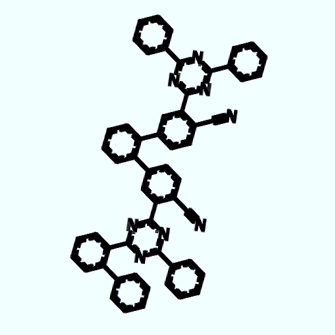 N#Cc1ccc(-c2ccccc2-c2ccc(C#N)c(-c3nc(-c4ccccc4)nc(-c4ccccc4-c4ccccc4)n3)c2)cc1-c1nc(-c2ccccc2)nc(-c2ccccc2)n1